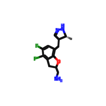 C[C@H]1NN=CC1Cc1cc(F)c(F)c2c1OC(CN)C2